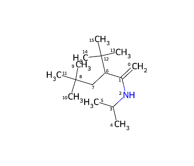 C=C(NC(C)C)C(CC(C)(C)C)C(C)(C)C